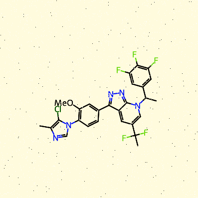 COc1cc(-c2nnc3n(C(C)c4cc(F)c(F)c(F)c4)cc(C(C)(F)F)cc2-3)ccc1-n1cnc(C)c1Cl